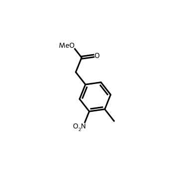 COC(=O)Cc1ccc(C)c([N+](=O)[O-])c1